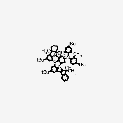 Cc1cc(C(C)(C)C)ccc1N(c1cc2c3c(c1)-n1c4c(c5cc(C(C)(C)C)cc(c51)B3c1cc(C(C)(C)C)cc3c1N2C1(C)CCCCC31C)-c1ccccc1C4(C)C)c1ccc(C(C)(C)C)cc1C